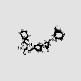 Cc1cncc(NCc2ccn(-c3ccc(C[C@H](NC(=O)C4(C)CCCCC4)C(=O)O)cc3)c2)c1